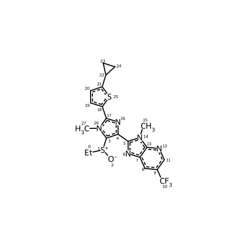 CC[S+]([O-])c1c(-c2nc3cc(C(F)(F)F)cnc3n2C)nc(-c2ccc(C3CC3)s2)n1C